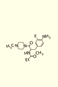 CCC(=O)N[C@@H](C(=O)N1CCN(C)CC1)[C@@H](C)c1ccc(N)c(F)c1